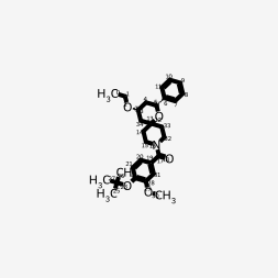 CCO[C@@H]1C[C@H](c2ccccc2)OC2(CCN(C(=O)c3ccc(OC(C)(C)C)c(OC)c3)CC2)C1